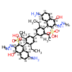 [H]/N=N/c1c(S(=O)(=O)O)c(-c2c(CC)cc(-c3cc(CC)c(-c4c(S(=O)(=O)O)c(/N=N/[H])c(O)c5ccc(N)cc45)c(CC)c3)cc2CC)c2cc(N)ccc2c1O